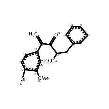 C=C(C(=O)C(Cc1ccccc1)C(=O)OCC)c1ccc(O)c(OC)c1